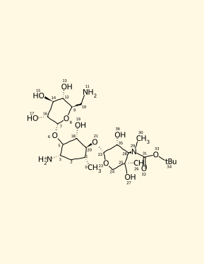 C[C@@H]1C[C@H](N)C(O[C@H]2O[C@H](CN)[C@@H](O)[C@H](O)[C@H]2O)[C@H](O)[C@H]1O[C@H]1OC[C@](C)(O)[C@H](N(C)C(=O)OC(C)(C)C)[C@H]1O